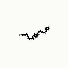 CC(C=CC1=C(C)CCCC1(C)C)=CC=CC(C)=CC(=O)Oc1c(C)c(C)c2c(c1C)CC[C@@](C)(CCC[C@H](C)CCC[C@H](C)CCCC(C)C)O2